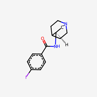 O=C(N[C@@H]1CN2CCC1CC2)c1ccc(I)cc1